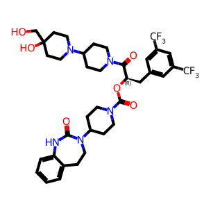 O=C(O[C@H](Cc1cc(C(F)(F)F)cc(C(F)(F)F)c1)C(=O)N1CCC(N2CCC(O)(CO)CC2)CC1)N1CCC(N2CCc3ccccc3NC2=O)CC1